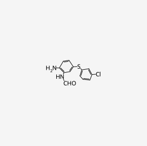 Nc1ccc(Sc2cccc(Cl)c2)cc1NC=O